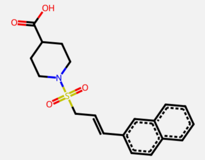 O=C(O)C1CCN(S(=O)(=O)CC=Cc2ccc3ccccc3c2)CC1